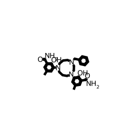 Cc1cc(C(N)=O)c(O)c(N2CCCN(Cc3ccccc3)CCN(c3cc(C)cc(C(N)=O)c3O)CCC2)c1